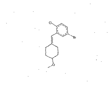 COC1CCC(=Cc2cc(Br)ccc2Cl)CC1